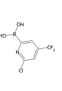 OB(O)c1cc(C(F)(F)F)cc(Cl)n1